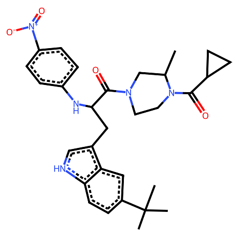 CC1CN(C(=O)C(Cc2c[nH]c3ccc(C(C)(C)C)cc23)Nc2ccc([N+](=O)[O-])cc2)CCN1C(=O)C1CC1